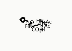 CC(=O)N(C(=N)NCCC[C@H](NC(=O)OCc1ccccc1)C(=O)O)C(C)=O